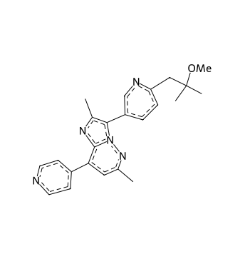 COC(C)(C)Cc1ccc(-c2c(C)nc3c(-c4ccncc4)cc(C)nn23)cn1